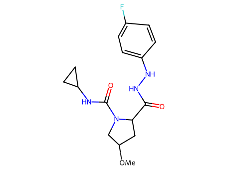 COC1CC(C(=O)NNc2ccc(F)cc2)N(C(=O)NC2CC2)C1